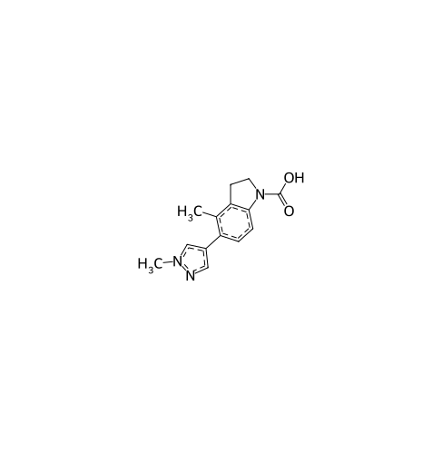 Cc1c(-c2cnn(C)c2)ccc2c1CCN2C(=O)O